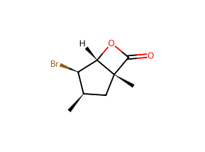 C[C@@H]1C[C@@]2(C)C(=O)O[C@H]2[C@@H]1Br